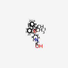 CC(C)(C)[Si](OCC1CCN(CCO)CC1)(c1ccccc1)c1ccccc1